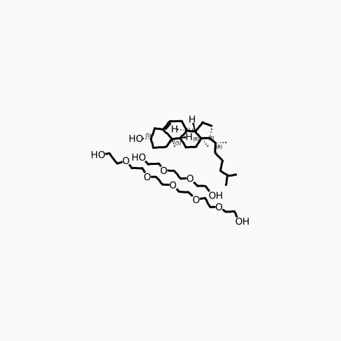 CC(C)CCC[C@@H](C)[C@H]1CC[C@H]2[C@@H]3CC=C4C[C@@H](O)CC[C@]4(C)[C@H]3CC[C@]12C.OCCOCCOCCO.OCCOCCOCCOCCOCCOCCO